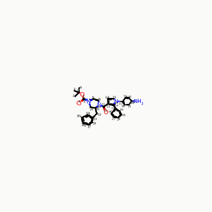 CC(C)(C)OC(=O)N1CCN(C(=O)c2ccn(C3=CCC(N)C=C3)c2-c2ccccc2)C(Cc2ccccc2)C1